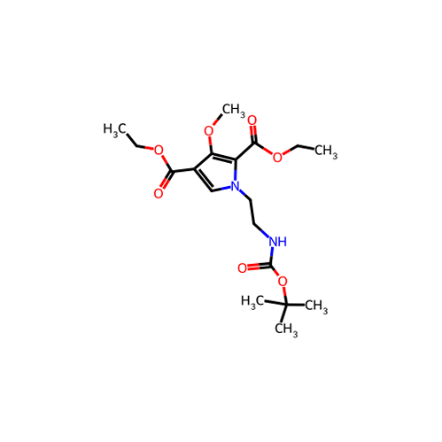 CCOC(=O)c1cn(CCNC(=O)OC(C)(C)C)c(C(=O)OCC)c1OC